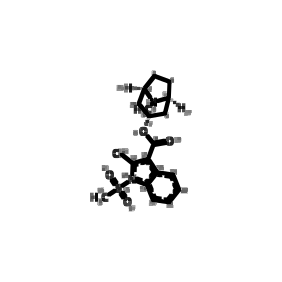 CN1[C@@H]2CC[C@H]1C[C@H](OC(=O)c1c(Cl)n(S(C)(=O)=O)c3ccccc13)C2